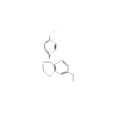 CCCOc1ccc([C@@H]2N[C@@H](C)Cc3cc(CO)ccc32)cc1